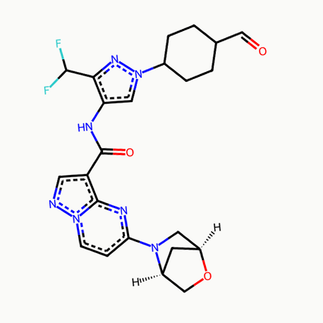 O=CC1CCC(n2cc(NC(=O)c3cnn4ccc(N5C[C@@H]6C[C@H]5CO6)nc34)c(C(F)F)n2)CC1